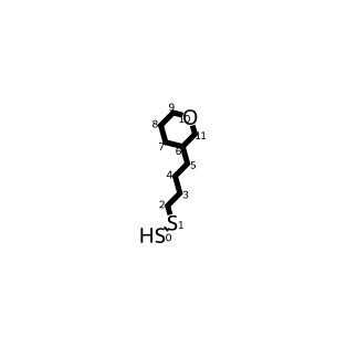 SSCCCCC1CCCOC1